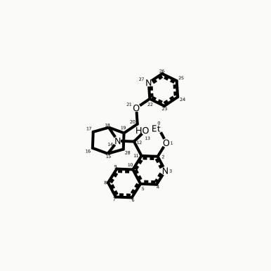 CCOc1ncc2ccccc2c1C(O)N1C2CCC1C(COc1ccccn1)C2